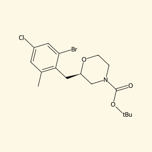 Cc1cc(Cl)cc(Br)c1C[C@@H]1CN(C(=O)OC(C)(C)C)CCO1